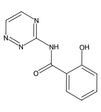 O=C(Nc1nccnn1)c1ccccc1O